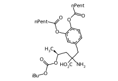 CCCCCC(=O)Oc1ccc(CC(N)(C[C@H](C)OC(=O)OC(C)CC)C(=O)O)cc1OC(=O)CCCCC